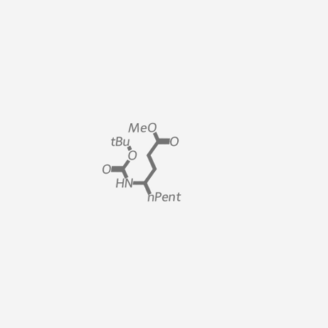 CCCCCC(CCC(=O)OC)NC(=O)OC(C)(C)C